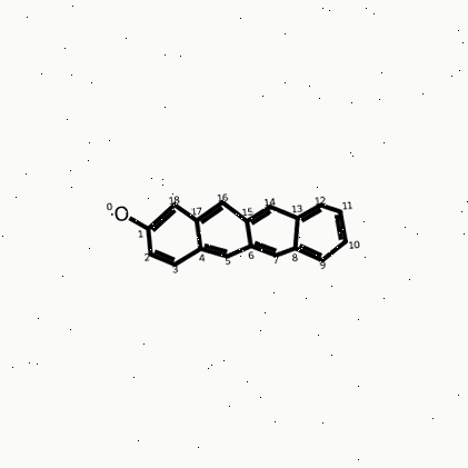 [O]c1ccc2cc3cc4ccccc4cc3cc2c1